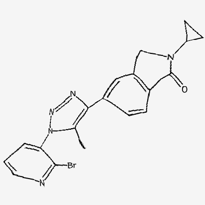 Cc1c(-c2ccc3c(c2)CN(C2CC2)C3=O)nnn1-c1cccnc1Br